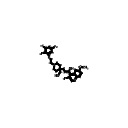 COc1ccc2ncc(F)c([C@H](O)CCC3(CO)CCN(CCOc4cc(F)cc(F)c4F)CC3)c2c1